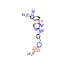 Cc1cc2cc(Oc3ccnc(Nc4cccc(CN5CCN(S(C)(=O)=O)CC5)c4)n3)ccc2[nH]1